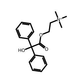 C[N+](C)(C)CCOC(=O)C(O)(c1ccccc1)c1ccccc1